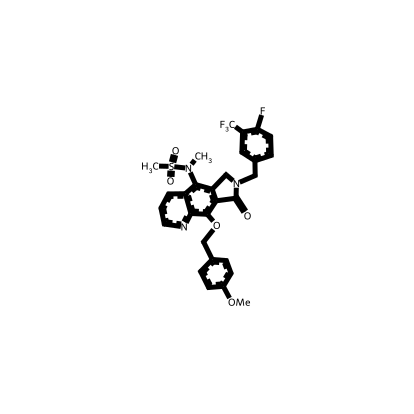 COc1ccc(COc2c3c(c(N(C)S(C)(=O)=O)c4cccnc24)CN(Cc2ccc(F)c(C(F)(F)F)c2)C3=O)cc1